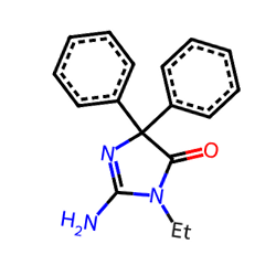 CCN1C(=O)C(c2ccccc2)(c2ccccc2)N=C1N